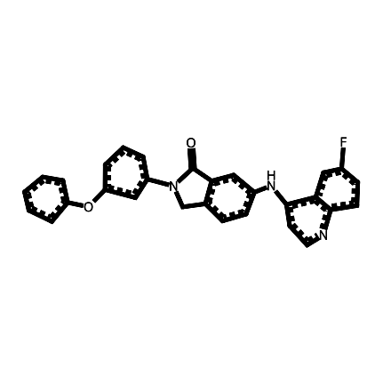 O=C1c2cc(Nc3ccnc4ccc(F)cc34)ccc2CN1c1cccc(Oc2ccccc2)c1